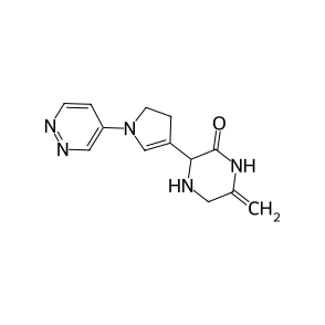 C=C1CNC(C2=CN(c3ccnnc3)CC2)C(=O)N1